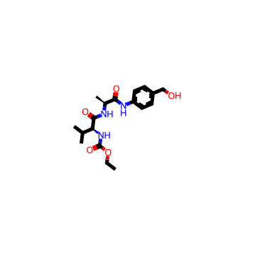 CCOC(=O)N[C@H](C(=O)N[C@@H](C)C(=O)Nc1ccc(CO)cc1)C(C)C